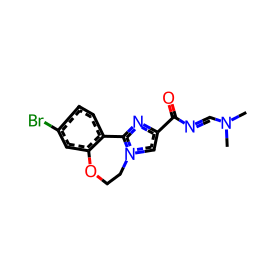 CN(C)/C=N/C(=O)c1cn2c(n1)-c1ccc(Br)cc1OCC2